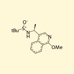 COc1ncc([C@H](C)N[S+]([O-])C(C)(C)C)c2ccccc12